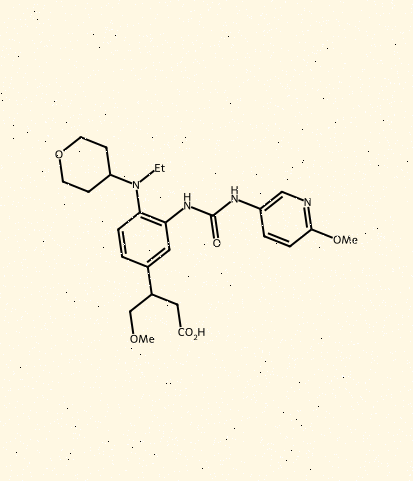 CCN(c1ccc(C(COC)CC(=O)O)cc1NC(=O)Nc1ccc(OC)nc1)C1CCOCC1